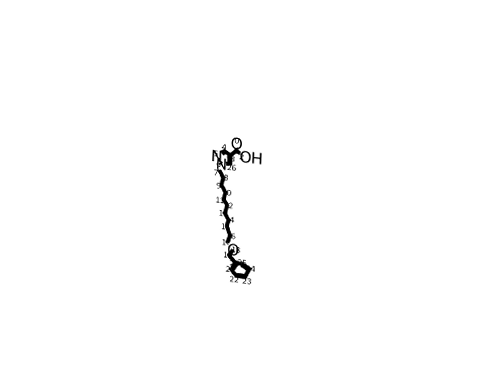 O=C(O)c1cnn(CCCCCCCCCCCOCc2ccccc2)c1